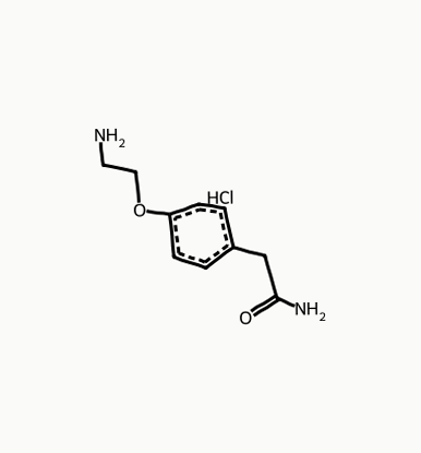 Cl.NCCOc1ccc(CC(N)=O)cc1